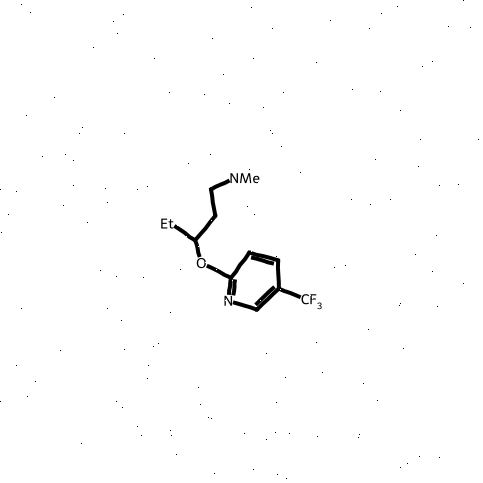 CCC(CCNC)Oc1ccc(C(F)(F)F)cn1